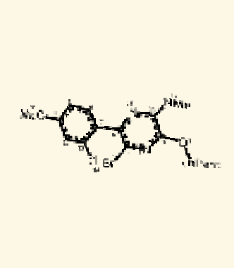 CCCCCOc1nc(Br)c(-c2ccc(OC)cc2Cl)nc1NC